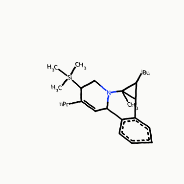 CCCC1=CC2c3ccccc3C3C(C(C)CC)C3(C)N2CC1[Si](C)(C)C